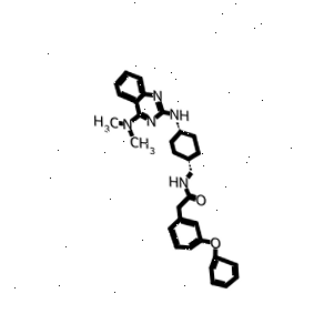 CN(C)c1nc(N[C@H]2CC[C@@H](CNC(=O)Cc3cccc(Oc4ccccc4)c3)CC2)nc2ccccc12